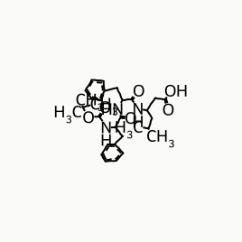 CC(C)CC(CC(=O)O)NC(=O)C(Cc1ccccc1)NC(=O)C(Cc1ccccc1)NC(=O)OC(C)(C)C